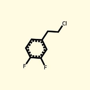 Fc1ccc(CCCl)cc1F